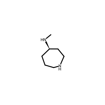 CN[C@@H]1CCCNCC1